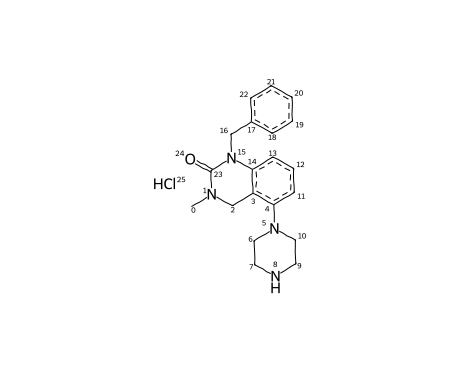 CN1Cc2c(N3CCNCC3)cccc2N(Cc2ccccc2)C1=O.Cl